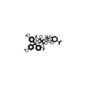 CCOC(=O)C(COC(c1ccccc1)(c1ccc(OC)cc1)c1ccc(OC)cc1)(CO[P@]1(=O)O[C@H]2C[C@H](C(C)C)CC[C@]2(C)S1)C(=O)OCC